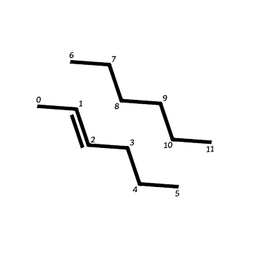 CC=CCCC.CCCCCC